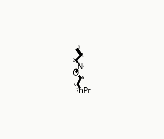 C=CC[N]OCCCCC